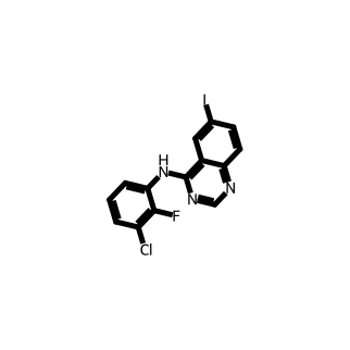 Fc1c(Cl)cccc1Nc1ncnc2ccc(I)cc12